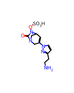 NCCc1ccn(C2=CC3CN(C2)C(=O)N3OS(=O)(=O)O)n1